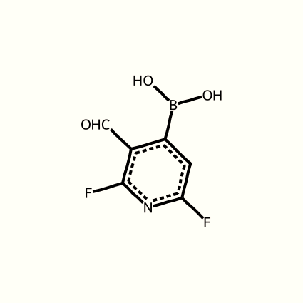 O=Cc1c(B(O)O)cc(F)nc1F